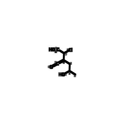 CC(O)CC(=C=O)C(Cl)C(=O)O